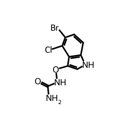 NC(=O)NOc1c[nH]c2ccc(Br)c(Cl)c12